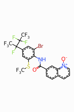 O=C(Nc1c(Br)cc(C(F)(C(F)(F)F)C(F)(F)C(F)(F)F)cc1SC(F)(F)F)c1ccc2ccc[n+]([O-])c2c1